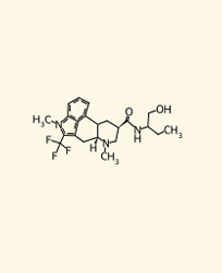 CCC(CO)NC(=O)[C@@H]1CC2c3cccc4c3c(c(C(F)(F)F)n4C)C[C@H]2N(C)C1